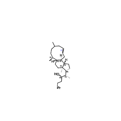 CC(C)CC[C@@H](O)[C@@H](C)[C@H]1CC[C@H]2[C@@H]3C/C=C/CC(C)CC[C@H](C)[C@H]3CC[C@]12C